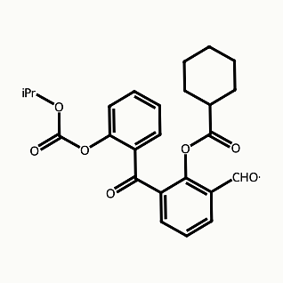 CC(C)OC(=O)Oc1ccccc1C(=O)c1cccc([C]=O)c1OC(=O)C1CCCCC1